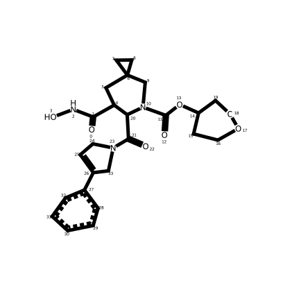 O=C(NO)C1CC2(CC2)CN(C(=O)OC2CCOCC2)C1C(=O)N1CC=C(c2ccccc2)C1